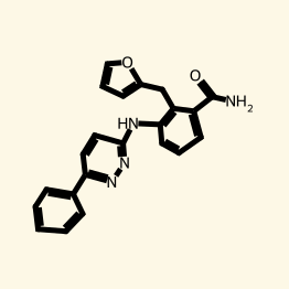 NC(=O)c1cccc(Nc2ccc(-c3ccccc3)nn2)c1Cc1ccco1